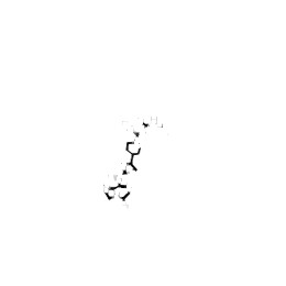 CC(C)(C)OC(=O)N1CCC(c2csc(Nc3ncc(Br)n4ccnc34)n2)CC1